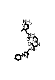 Cc1nc(N)ccc1CNC(=O)[C@@H]1CCc2ncc(NCc3cnn(-c4ccccc4)c3)c(=O)n21